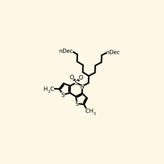 CCCCCCCCCCCCCCC(CCCCCCCCCCCCCC)CN1c2cc(C)sc2-c2sc(C)cc2S1(=O)=O